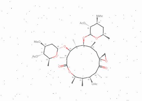 CN[C@H]1C[C@@H](C)OC(O[C@@H]2[C@@H](C)[C@H](O[C@H]3C[C@H](OC)[C@@H](OC(C)=O)[C@H](C)O3)[C@@H](C)C(=O)O[C@H](C)[C@H](C)[C@H](OC(C)=O)[C@@H](C)C(=O)[C@]3(CO3)C[C@@H]2C)[C@@H]1OC(C)=O